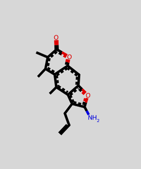 C=CCc1c(N)oc2cc3oc(=O)c(C)c(C)c3c(C)c12